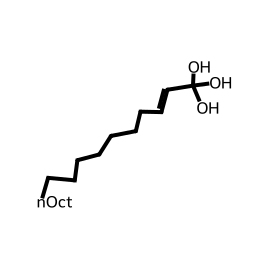 CCCCCCCCCCCCCCCC=CC(O)(O)O